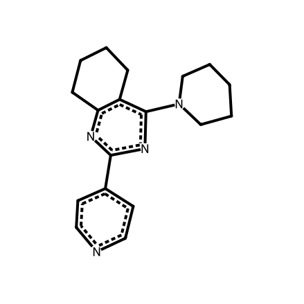 c1cc(-c2nc3c(c(N4CCCCC4)n2)CCCC3)ccn1